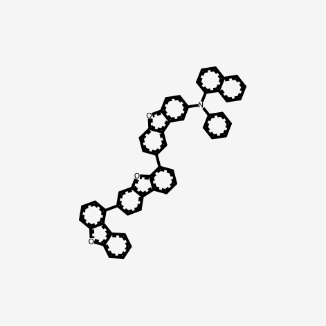 c1ccc(N(c2ccc3oc4ccc(-c5cccc6c5oc5cc(-c7cccc8oc9ccccc9c78)ccc56)cc4c3c2)c2cccc3ccccc23)cc1